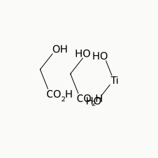 O=C(O)CO.O=C(O)CO.[OH][Ti][OH]